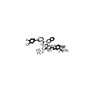 CC(C)(C)C(NC(=O)c1cc2cc(C(F)(F)P(=O)(O)O)ccc2s1)C(=O)N1Cc2ccccc2C[C@H]1C(=O)N1CCOC(c2ccc(F)c(Cl)c2)C1